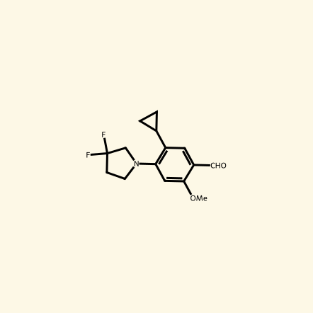 COc1cc(N2CCC(F)(F)C2)c(C2CC2)cc1C=O